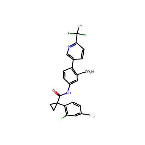 CCC(F)(F)c1ccc(-c2ccc(NC(=O)C3(c4ccc(C(F)(F)F)cc4F)CC3)cc2C(=O)O)cn1